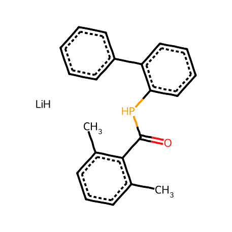 Cc1cccc(C)c1C(=O)Pc1ccccc1-c1ccccc1.[LiH]